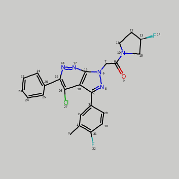 Cc1cc(-c2nn(CC(=O)N3CC[C@@H](F)C3)c3nnc(-c4ccccc4)c(Cl)c23)ccc1F